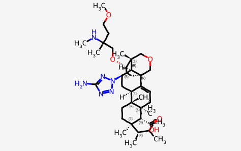 CNC(C)(CCOC)CO[C@H]1[C@H](n2nnc(N)n2)C[C@@]23COC[C@]1(C)[C@@H]2CC[C@H]1C3=CC[C@@]2(C)[C@H](C(=O)O)[C@@](C)([C@H](C)C(C)C)CC[C@]12C